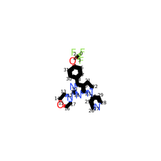 FC(F)(F)Oc1ccc(-c2nc(N3CCOCC3)nc3c2CCN3c2ccncc2)cc1